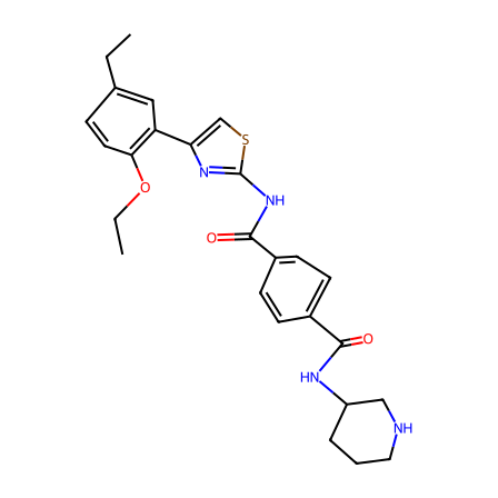 CCOc1ccc(CC)cc1-c1csc(NC(=O)c2ccc(C(=O)NC3CCCNC3)cc2)n1